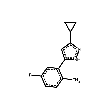 Cc1ccc(F)cc1-c1cc(C2CC2)n[nH]1